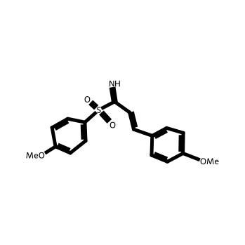 COc1ccc(C=CC(=N)S(=O)(=O)c2ccc(OC)cc2)cc1